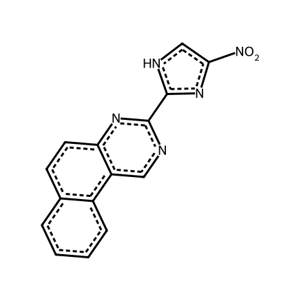 O=[N+]([O-])c1c[nH]c(-c2ncc3c(ccc4ccccc43)n2)n1